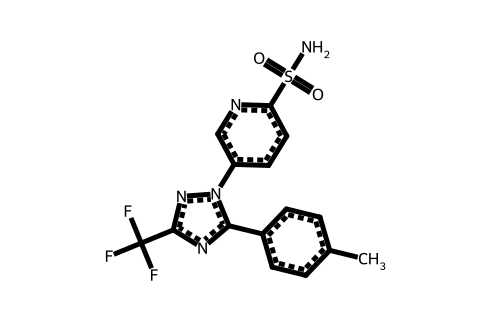 Cc1ccc(-c2nc(C(F)(F)F)nn2-c2ccc(S(N)(=O)=O)nc2)cc1